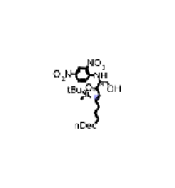 CCCCCCCCCCCCC/C=C/[C@@H](O[Si](C)(C)C(C)(C)C)[C@H](CO)Nc1ccc([N+](=O)[O-])cc1[N+](=O)[O-]